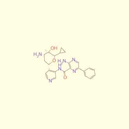 C[C@]1(O)C(C2CC2)O[C@H](c2ccncc2NC(=O)c2nc(-c3ccccc3)cnc2N)C[C@@H]1N